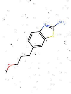 COCCCc1ccc2nc(N)sc2c1